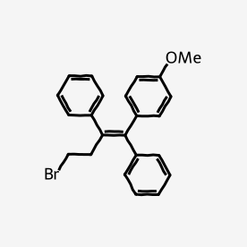 COc1ccc(C(=C(CCBr)c2ccccc2)c2ccccc2)cc1